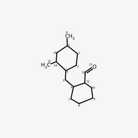 CC1CCC(CC2CCCCC2C=O)C(C)C1